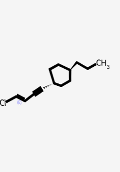 CCC[C@H]1CC[C@H](C#C/C=C/Cl)CC1